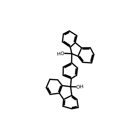 OC1(c2ccc(C3(O)c4ccccc4-c4ccccc43)cc2)C2=C(C=CCC2)c2ccccc21